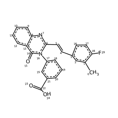 Cc1cc(/C=C/c2nc3ccccc3c(=O)n2-c2cccc(C(=O)O)c2)ccc1F